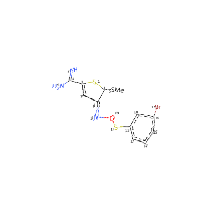 CSC1SC(C(=N)N)=CC1=NOSc1cccc(Br)c1